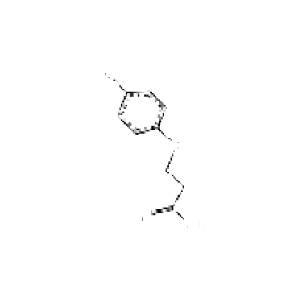 C=C(C)CCOc1ccc(O)cc1